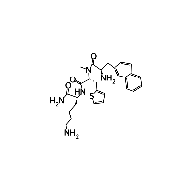 CN(C(=O)[C@H](N)Cc1ccc2ccccc2c1)[C@H](Cc1cccs1)C(=O)N[C@@H](CCCCN)C(N)=O